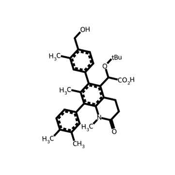 Cc1ccc(-c2c(C)c(-c3ccc(CO)c(C)c3)c(C(OC(C)(C)C)C(=O)O)c3c2N(C)C(=O)CC3)cc1C